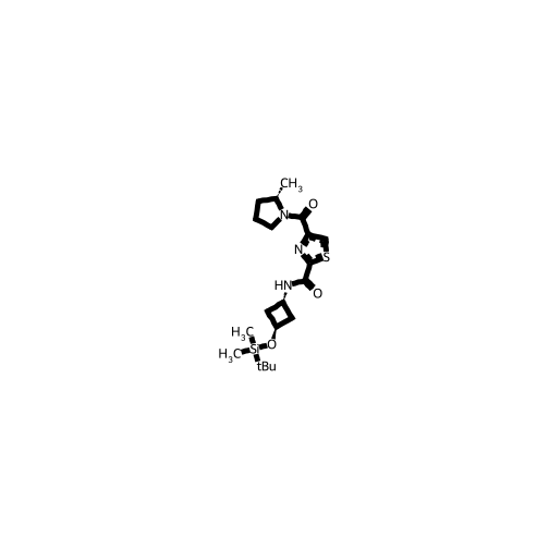 C[C@H]1CCCN1C(=O)c1csc(C(=O)N[C@H]2C[C@H](O[Si](C)(C)C(C)(C)C)C2)n1